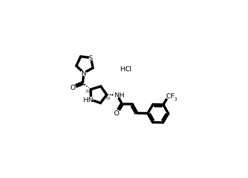 Cl.O=C(C=Cc1cccc(C(F)(F)F)c1)N[C@@H]1CN[C@H](C(=O)N2CCSC2)C1